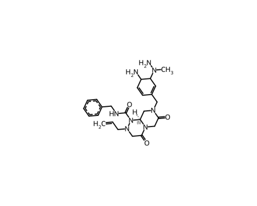 C=CCN1CC(=O)N2CC(=O)N(CC3=CC(N(C)N)C(N)C=C3)C[C@@H]2N1C(=O)NCc1ccccc1